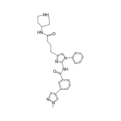 Cn1cc(-c2cccc(C(=O)Nc3nc(CCCC(=O)NC4CCNCC4)cn3-c3ccccc3)c2)cn1